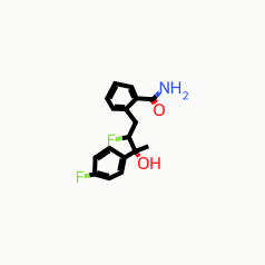 CC(O)(c1ccc(F)cc1)C(F)Cc1ccccc1C(N)=O